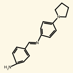 Nc1ccc(/C=N/c2ccc(N3CCCC3)cc2)cc1